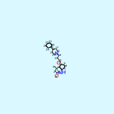 CC1CC(=O)Nc2cccc(OCCCN3CCC(c4ccccc4)CC3)c21